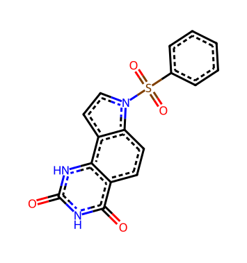 O=c1[nH]c(=O)c2ccc3c(ccn3S(=O)(=O)c3ccccc3)c2[nH]1